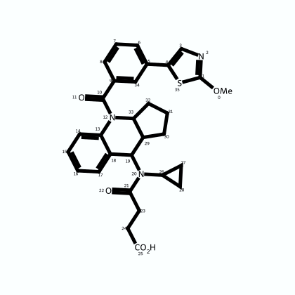 COc1ncc(-c2cccc(C(=O)N3c4ccccc4C(N(C(=O)CCC(=O)O)C4CC4)C4CCCC43)c2)s1